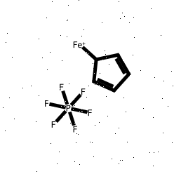 F[P-](F)(F)(F)(F)F.[Fe+][CH]1C=CC=C1